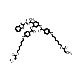 C=CC(=O)OCCCCCCOc1ccc(C(=O)Oc2ccc(/C(C)=N/Nc3nc4ccccc4s3)c(OC(=O)c3ccc(OCCCCCCOC(=O)C=C)cc3)c2)cc1